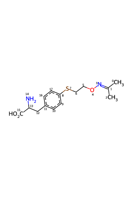 CC(C)=NOCCSc1ccc(CC(N)C(=O)O)cc1